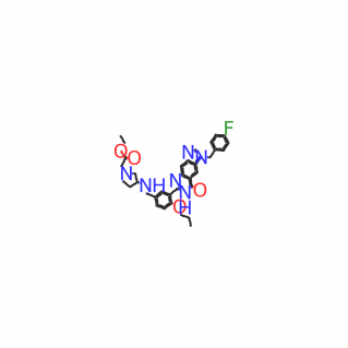 CCCOc1ccc(CNC2CCN(CC(=O)OCC)C2)cc1-c1nc2cc3ncn(Cc4ccc(F)cc4)c3cc2c(=O)[nH]1